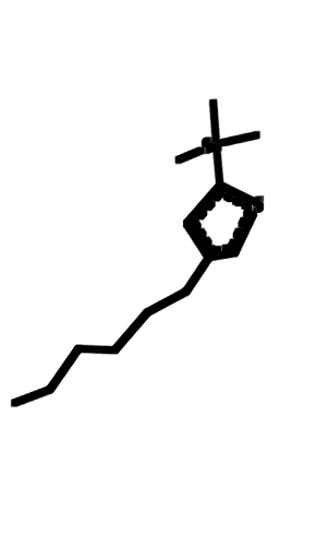 CCCCCCc1cs[c]([Sn]([CH3])([CH3])[CH3])c1